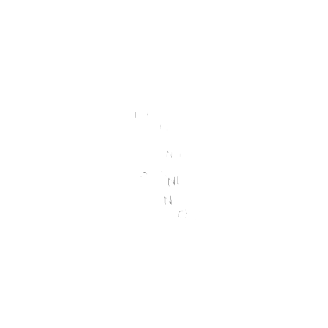 C=NNC(=O)NCOC